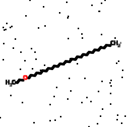 [CH2]CCCCCCCCCCCCCCCCCCCCCCCCCCCCCOCCCC